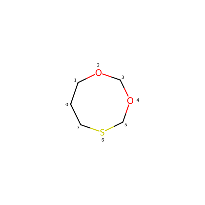 C1COCOCSC1